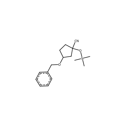 C[Si](C)(C)OC1(C#N)CCC(OCc2ccccc2)C1